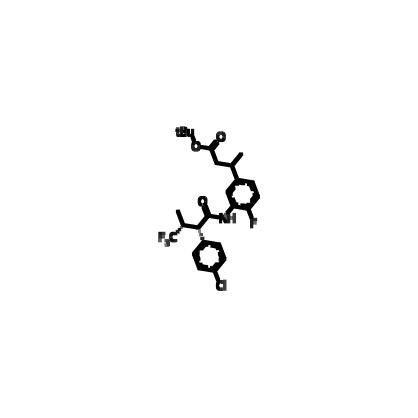 CC(CC(=O)OC(C)(C)C)c1ccc(F)c(NC(=O)[C@H](c2ccc(Cl)cc2)[C@@H](C)C(F)(F)F)c1